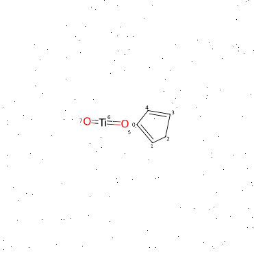 C1=CCC=C1.[O]=[Ti]=[O]